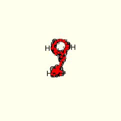 COC[C@H]1OC(=O)/C(=C/N2CCCCC2)C2=C(O)C(=O)C3=C([C@H](OC(=O)CCCCCCC(=O)O[C@@H]4CCC(C[C@@H](C)[C@@H]5CC(=O)[C@H](C)/C=C(\C)[C@](C)(O)[C@@H](OC)C(=O)[C@H](C)C[C@H](C)/C=C/C=C/C=C(\C)[C@@H](OC)C[C@@H]6CC[C@@H](C)[C@@](O)(O6)C(=O)C(=O)N6CCCC[C@H]6C(=O)O5)C[C@H]4OC)C[C@]4(C)C(=O)CC[C@@H]34)[C@]21C